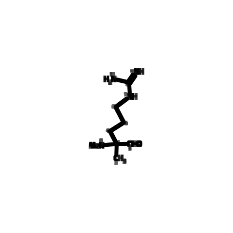 CNC(C)(C=O)CCCNC(=N)N